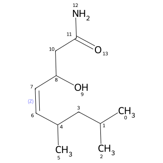 CC(C)CC(C)/C=C\C(O)CC(N)=O